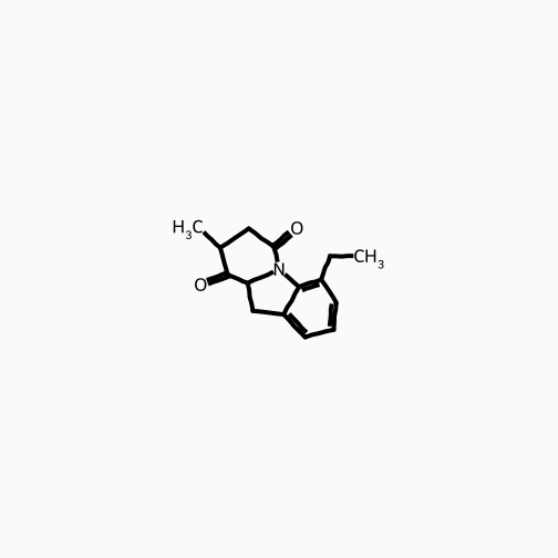 CCc1cccc2c1N1C(=O)CC(C)C(=O)C1C2